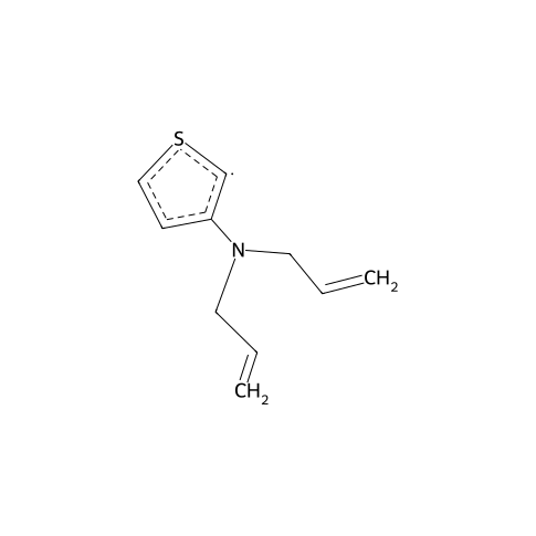 C=CCN(CC=C)c1[c]scc1